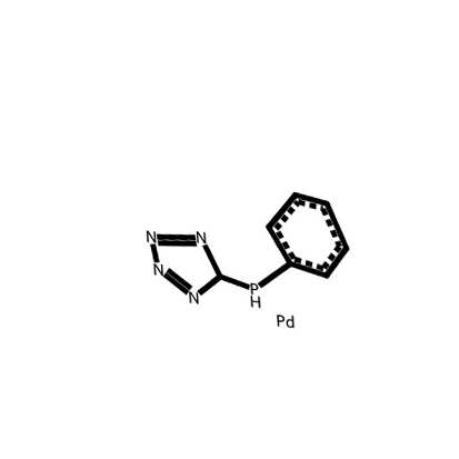 [Pd].c1ccc(PC2N=NN=N2)cc1